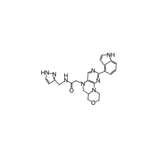 O=C(CN1CC2COCCN2c2nc(-c3cccc4[nH]ccc34)ncc21)NCc1cc[nH]n1